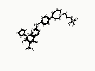 CC(=O)c1c(C)c2cnc(Nc3ccc(C4CCCN(CCCS(C)(=O)=O)CC4)cn3)nc2n(C2CCCC2)c1=O